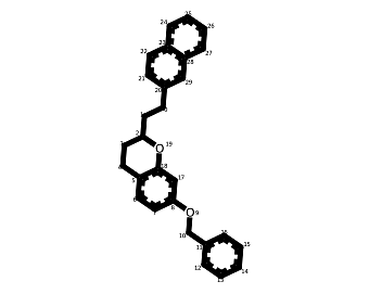 [CH](CC1CCc2ccc(OCc3ccccc3)cc2O1)c1ccc2ccccc2c1